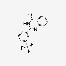 O=c1[nH]c(-c2cccc(C(F)(F)F)c2)nc2ccccc12